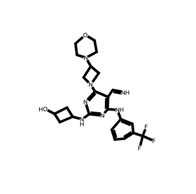 N=Cc1c(Nc2cccc(C(F)(F)F)c2)nc(NC2CC(O)C2)nc1N1CC(N2CCOCC2)C1